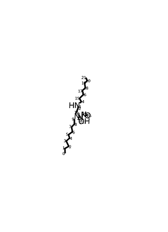 CCCCCCCCCCN(CCNCCCCCCCC)N(O)N=O